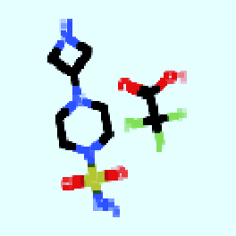 NS(=O)(=O)N1CCN(C2CNC2)CC1.O=C(O)C(F)(F)F